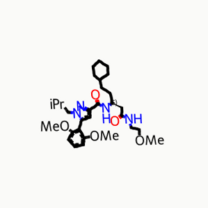 COCCNC(=O)C[C@H](CCC1CCCCC1)NC(=O)c1cc(-c2c(OC)cccc2OC)n(CC(C)C)n1